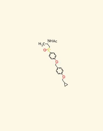 CC(=O)N[C@@H](C)C[S+]([O-])c1ccc(OCc2ccc(OCC3CC3)cc2)cc1